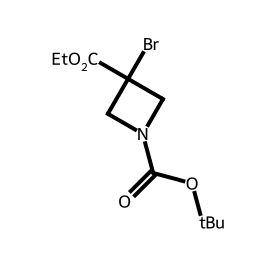 CCOC(=O)C1(Br)CN(C(=O)OC(C)(C)C)C1